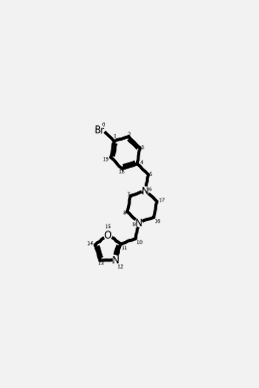 Brc1ccc(CN2CCN(Cc3ncco3)CC2)cc1